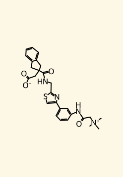 C[N+](C)(C)CC(=O)Nc1cccc(-c2csc(CNC(=O)C3(CC(=O)[O-])Cc4ccccc4C3)n2)c1